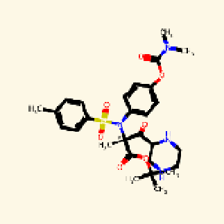 Cc1ccc(S(=O)(=O)N(c2ccc(OC(=O)N(C)C)cc2)[C@@](C)(C(=O)OC(C)(C)C)C(=O)C2CNCCN2)cc1